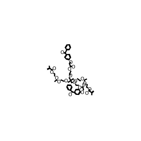 C=C(C)C(=O)OCCOC(C)OCCOCC(COCCOC(=O)COc1ccc(C(=O)c2ccccc2)cc1)(COCCOC(=O)COc1ccc(C(=O)c2ccccc2)cc1)COCCOC(C)OCCOC(=O)C(=C)C